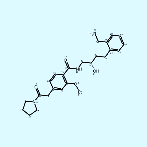 CCOc1cc(CC(=O)N2CCCC2)ccc1C(=O)NC[C@@H](O)CCc1ccccc1CN